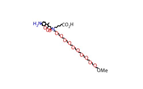 COCCOCCOCCOCCOCCOCCOCCOCCOCCOCCOCCN(CCCCCC(=O)O)C(=O)Cc1c(C)c2ccc(N)cc2oc1=O